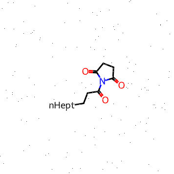 CCCCCCCCCC(=O)N1C(=O)CCC1=O